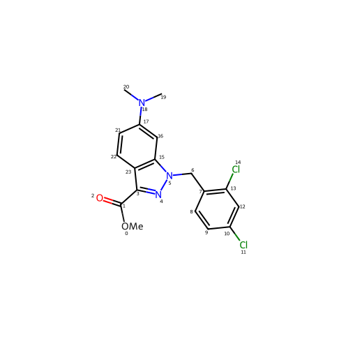 COC(=O)c1nn(Cc2ccc(Cl)cc2Cl)c2cc(N(C)C)ccc12